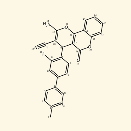 Cc1ccc(-c2ccc(C3C(C#N)=C(N)Oc4c3c(=O)oc3ccccc43)c(F)c2)cn1